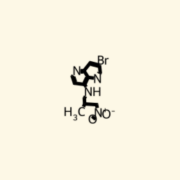 CC(CNc1ccnc2cc(Br)cnc12)C[N+](=O)[O-]